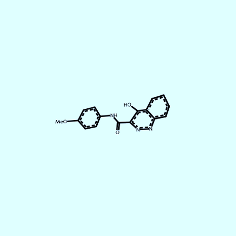 COc1ccc(NC(=O)c2nnc3ccccc3c2O)cc1